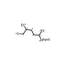 CCCCCC(CC)CCC(CC)C[S]